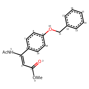 COC(=O)/C=C(/NC(C)=O)c1ccc(OCc2ccccc2)cc1